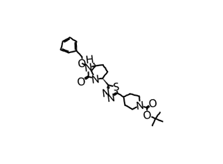 CC(C)(C)OC(=O)N1CCC(c2nnc([C@@H]3CC[C@@H]4CN3C(=O)N4OCc3ccccc3)s2)CC1